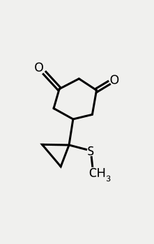 CSC1(C2CC(=O)CC(=O)C2)CC1